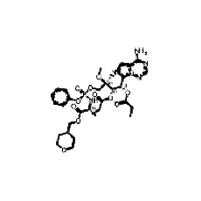 CCC(=O)O[C@@H](c1ccc2c(N)ncnn12)[C@H](OC(=O)CC)[C@@](C#N)(COP(=O)(N[C@@H](C)C(=O)OCC1CCOCC1)Oc1ccccc1)OC